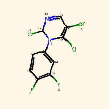 Fc1ccc(N2C(Cl)=C(Br)C=NC2Cl)cc1F